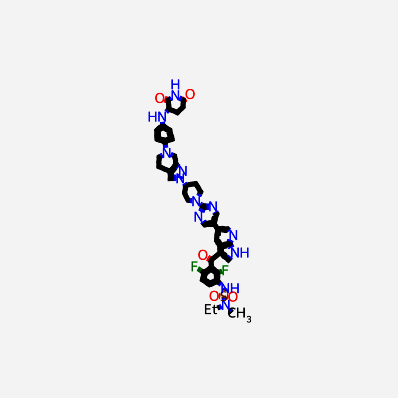 CCN(C)S(=O)(=O)Nc1ccc(F)c(C(=O)c2c[nH]c3ncc(-c4cnc(N5CCC(n6cc7c(n6)CN(c6ccc(NC8CCC(=O)NC8=O)cc6)CC7)CC5)nc4)cc23)c1F